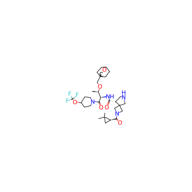 C[C@@H](OCC12CCC(CC1)OC2)[C@@H](NC(=O)[C@@H]1CNCC12CN(C(=O)[C@H]1CC1(C)C)C2)C(=O)N1CCC(OC(F)(F)F)CC1